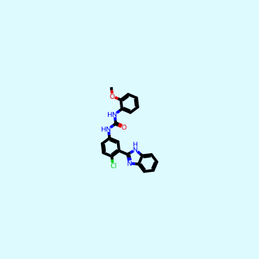 COc1ccccc1NC(=O)Nc1ccc(Cl)c(-c2nc3ccccc3[nH]2)c1